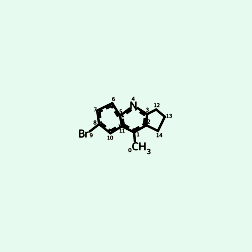 Cc1c2c(nc3ccc(Br)cc13)CCC2